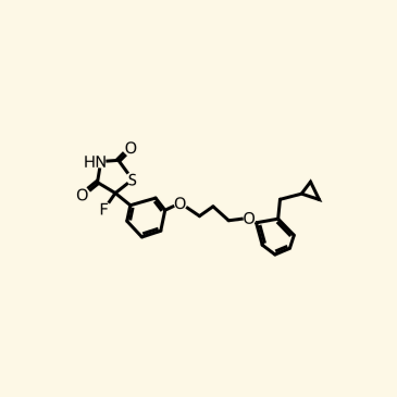 O=C1NC(=O)C(F)(c2cccc(OCCCOc3ccccc3CC3CC3)c2)S1